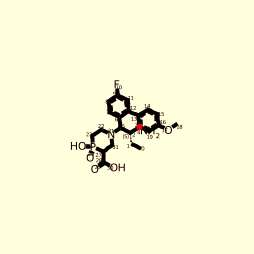 CC[C@@H](CN)C(c1ccc(F)cc1-c1ccc(OC)cc1)N1CCP(=O)(O)C(C(=O)O)C1